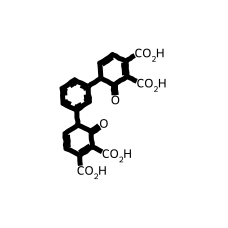 O=C(O)C1=C(C(=O)O)C(=O)C(c2cccc(C3C=CC(C(=O)O)=C(C(=O)O)C3=O)c2)C=C1